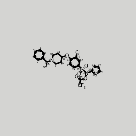 C[C@@H](c1ccccc1)N1CCC(Oc2ccc(S(=O)(=O)N(OC(=O)C(F)(F)F)c3nccs3)cc2Cl)CC1